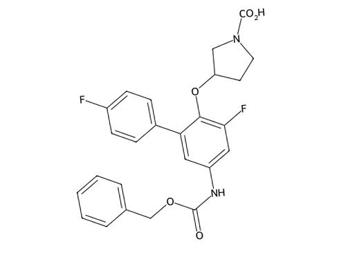 O=C(Nc1cc(F)c(OC2CCN(C(=O)O)C2)c(-c2ccc(F)cc2)c1)OCc1ccccc1